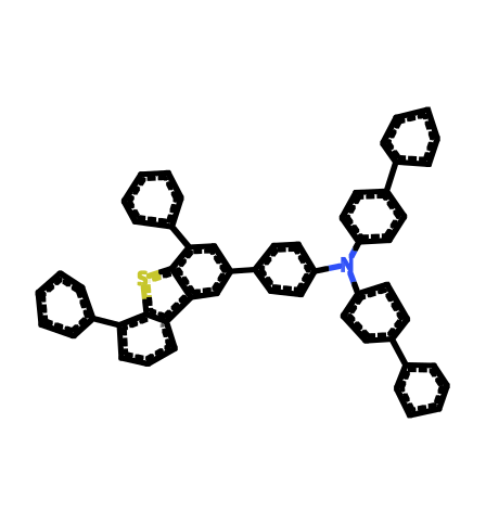 c1ccc(-c2ccc(N(c3ccc(-c4ccccc4)cc3)c3ccc(-c4cc(-c5ccccc5)c5sc6c(-c7ccccc7)cccc6c5c4)cc3)cc2)cc1